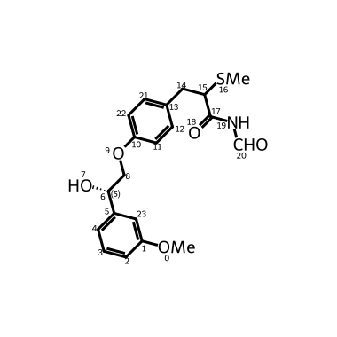 COc1cccc([C@H](O)COc2ccc(CC(SC)C(=O)NC=O)cc2)c1